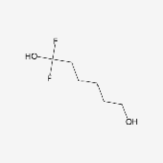 OCCCCCC(O)(F)F